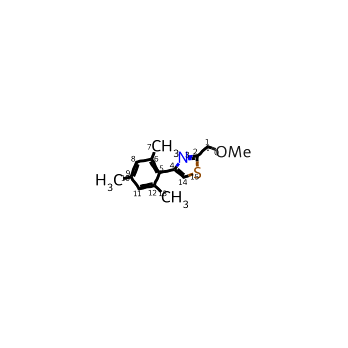 CO[CH]c1nc(-c2c(C)cc(C)cc2C)cs1